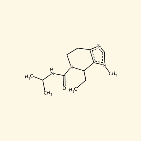 CCC1c2c(ncn2C)CCN1C(=O)NC(C)C